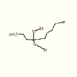 CCOC(=O)CCC(CCCCBr)(OCC)OCC